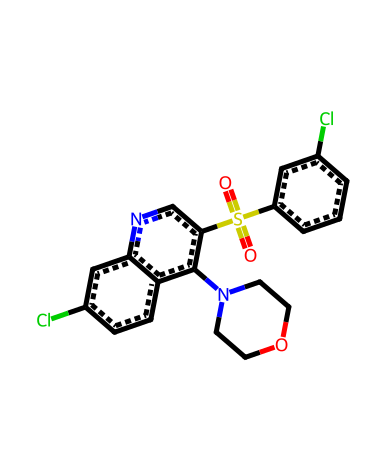 O=S(=O)(c1cccc(Cl)c1)c1cnc2cc(Cl)ccc2c1N1CCOCC1